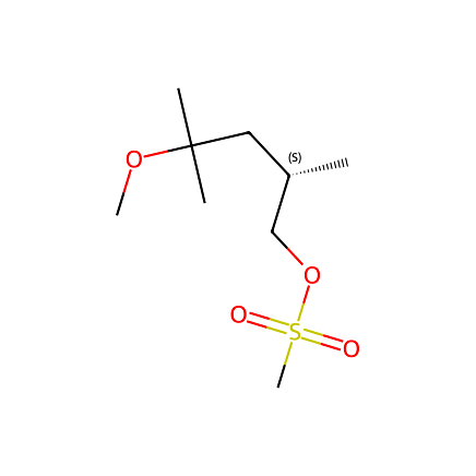 COC(C)(C)C[C@H](C)COS(C)(=O)=O